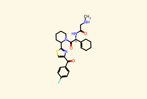 CNCC(=O)N[C@H](C(=O)N1CCCCC1c1nc(C(=O)c2ccc(F)cc2)cs1)C1=CCCCC1